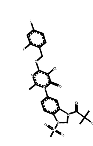 Cc1nc(OCc2ccc(F)cc2F)c(Cl)c(=O)n1-c1ccc2c(c1)N(C(=O)C(C)(C)O)CN2S(C)(=O)=O